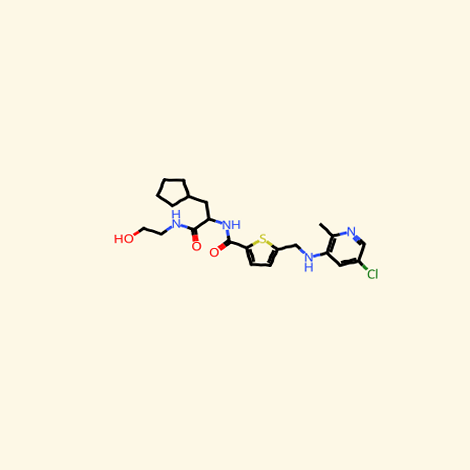 Cc1ncc(Cl)cc1NCc1ccc(C(=O)NC(CC2CCCC2)C(=O)NCCO)s1